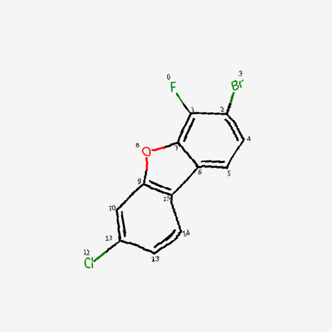 Fc1c(Br)ccc2c1oc1cc(Cl)ccc12